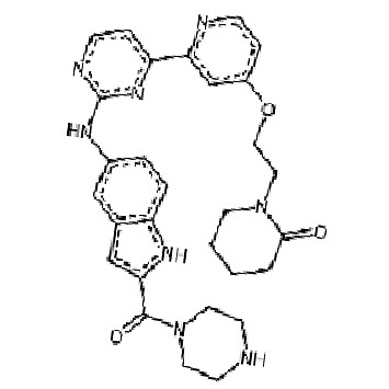 O=C1CCCCN1CCOc1ccnc(-c2ccnc(Nc3ccc4[nH]c(C(=O)N5CCNCC5)cc4c3)n2)c1